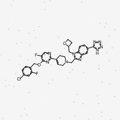 Fc1cc(Cl)ccc1COc1nc(C2=CCN(Cc3nc4cc(-c5nnn[nH]5)ccc4n3CC3CCO3)CC2)ncc1F